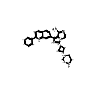 Nc1nccn2c1c(-c1ccc3ccc(-c4ccccc4)nc3c1)nc2[C@H]1C[C@@H](N2CCNCC2)C1